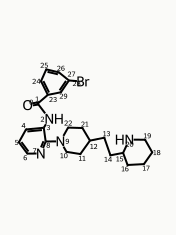 O=C(Nc1cccnc1N1CCC(CCC2CCCCN2)CC1)c1cccc(Br)c1